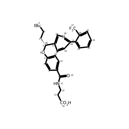 CC(C)(C)CC[C@@H](Oc1ccc(C(=O)NCCC(=O)O)cc1)c1ccc(-c2ccccc2C(F)(F)F)nc1